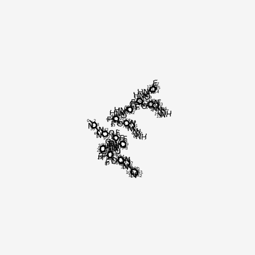 Cc1ccc(-c2cnc3ccc(Oc4cc(NC(=O)Nc5cccc(F)c5)cc(F)c4F)cc3n2)cn1.O=C(Nc1cccc(Cl)c1)Nc1cc(F)c(F)c(Oc2ccc3ncc(N4CCNCC4)nc3c2)c1.O=C(Nc1cccc(F)c1)Nc1cc(F)c(F)c(Oc2ccc3ncc(-c4cccnc4)nc3c2)c1.O=C(Nc1cccc(F)c1)Nc1cc(F)c(F)c(Oc2ccc3ncc(N4CCNCC4)nc3c2)c1